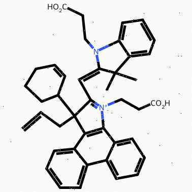 C=CCC1(C2C=CCCC2)C(/C=C2/N(CCC(=O)O)c3ccccc3C2(C)C)=[N+](CCC(=O)O)c2c1c1ccccc1c1ccccc21